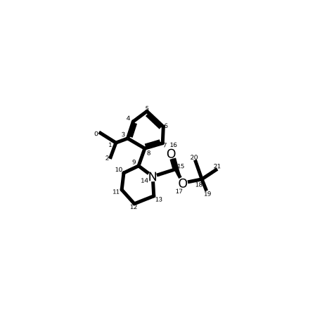 CC(C)c1ccccc1C1CCCCN1C(=O)OC(C)(C)C